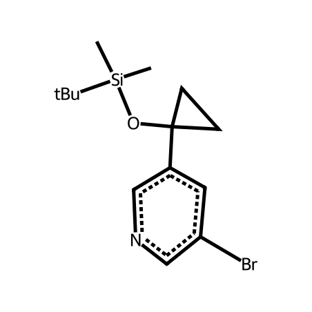 CC(C)(C)[Si](C)(C)OC1(c2cncc(Br)c2)CC1